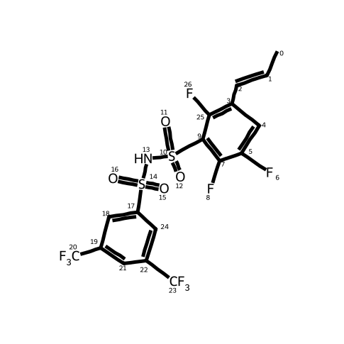 C/C=C/c1cc(F)c(F)c(S(=O)(=O)NS(=O)(=O)c2cc(C(F)(F)F)cc(C(F)(F)F)c2)c1F